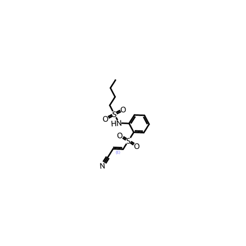 CCCCS(=O)(=O)Nc1ccccc1S(=O)(=O)/C=C/C#N